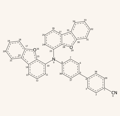 N#Cc1ccc(-c2ccc(N(c3cccc4c3oc3ccccc34)c3cccc4c3oc3ccccc34)cc2)cc1